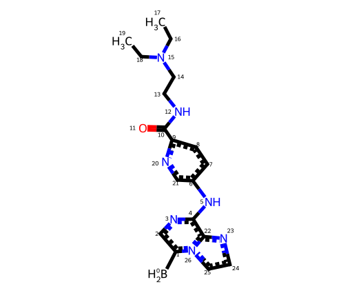 Bc1cnc(Nc2ccc(C(=O)NCCN(CC)CC)nc2)c2nccn12